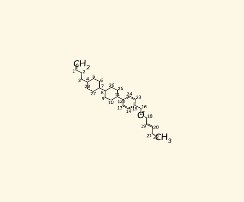 C=CCCC1CCC(C2CCC(c3ccc(COCC=CCC)cc3)CC2)CC1